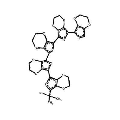 CCC(C)(C)c1sc(-c2sc(-c3sc(-c4sc(-c5scc6c5OCCO6)c5c4OCCO5)c4c3OCCO4)c3c2OCCO3)c2c1OCCO2